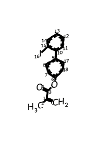 C=C(C)C(=O)Oc1ccc(-c2ccccc2I)cc1